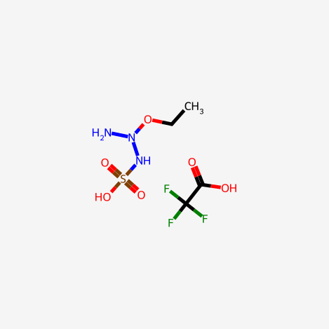 CCON(N)NS(=O)(=O)O.O=C(O)C(F)(F)F